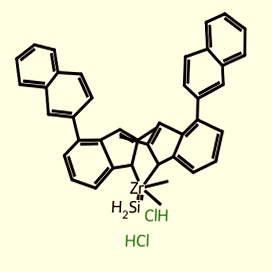 CC1=Cc2c(-c3ccc4ccccc4c3)cccc2[CH]1[Zr]([CH3])([CH3])(=[SiH2])[CH]1C(C)=Cc2c(-c3ccc4ccccc4c3)cccc21.Cl.Cl